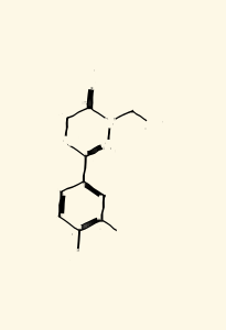 CC(=O)OCN1N=C(c2ccc(Cl)c(Cl)c2)NCC1=O